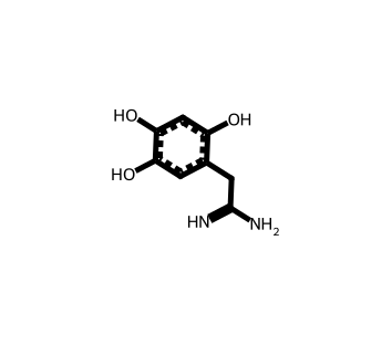 N=C(N)Cc1cc(O)c(O)cc1O